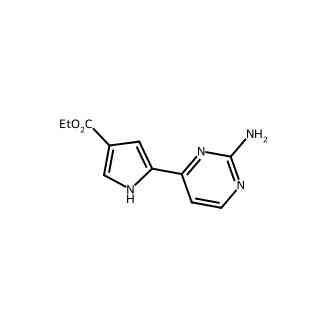 CCOC(=O)c1c[nH]c(-c2ccnc(N)n2)c1